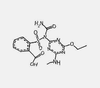 CCOc1nc(NC)nc(N(C(N)=O)S(=O)(=O)c2ccccc2C(=O)O)n1